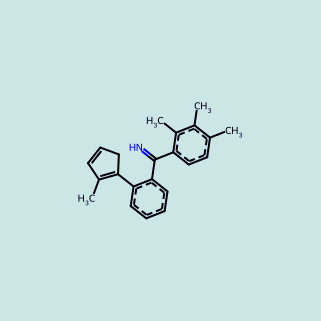 CC1=C(c2ccccc2C(=N)c2ccc(C)c(C)c2C)CC=C1